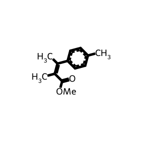 COC(=O)/C(C)=C(/C)c1ccc(C)cc1